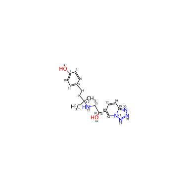 CC(C)(CCc1ccc(O)cc1)NC[C@H](O)c1ccc2nnnn2c1